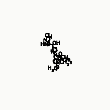 COc1ccc(CN(C(=O)OC(C)(C)C)c2ccc(C(O)c3c[nH]c4c3=C[C@@](Cl)(I)CN=4)cn2)cn1